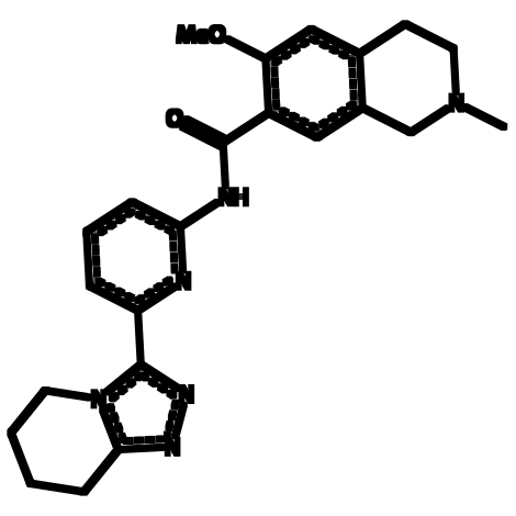 COc1cc2c(cc1C(=O)Nc1cccc(-c3nnc4n3CCCC4)n1)CN(C)CC2